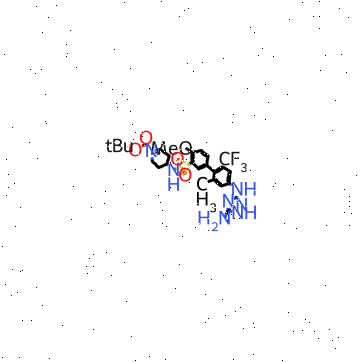 COc1ccc(-c2c(C)cc(Nc3n[nH]c(N)n3)cc2C(F)(F)F)cc1S(=O)(=O)NC1CCN(C(=O)OC(C)(C)C)CC1